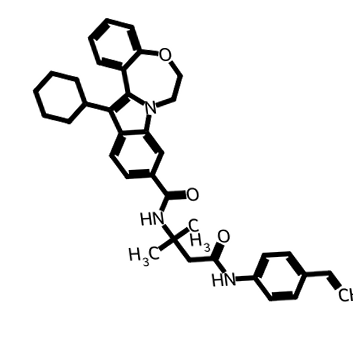 C=Cc1ccc(NC(=O)CC(C)(C)NC(=O)c2ccc3c(C4CCCCC4)c4n(c3c2)CCOc2ccccc2-4)cc1